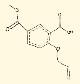 C=CCOc1ccc(C(=O)OC)cc1C(=O)O